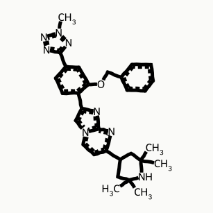 Cn1nnc(-c2ccc(-c3cn4ccc(C5CC(C)(C)NC(C)(C)C5)nc4n3)c(OCc3ccccc3)c2)n1